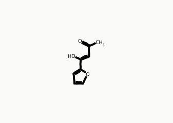 CC(=O)C=C(O)c1ccco1